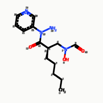 CCCCC[C@H](CN(O)C=O)C(=O)N(N)c1cccnc1